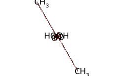 CCCCCCCCCCCCCCCCCCCCCCCCCCCCCCCN(C(=O)O)C(c1ccccc1)(c1ccccc1)N(CCCCCCCCCCCCCCCCCCCCCCCCCCCCCCC)C(=O)O